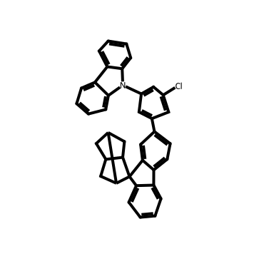 Clc1cc(-c2ccc3c(c2)C2(c4ccccc4-3)C3CC4CC3CC42)cc(-n2c3ccccc3c3ccccc32)c1